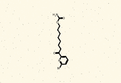 NC(=O)OCCCCCCCC(=O)c1cccc(Br)n1